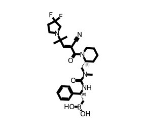 CN(C[C@H]1CCCCN1C(=O)C(C#N)=CC(C)(C)N1CCC(F)(F)C1)C(=O)N[C@H](CB(O)O)c1ccccc1